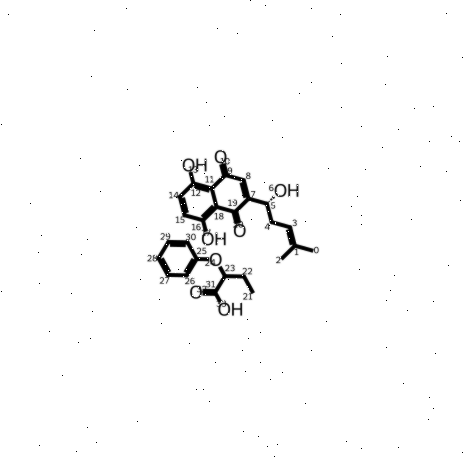 CC(C)=CC[C@@H](O)C1=CC(=O)c2c(O)ccc(O)c2C1=O.CCC(Oc1ccccc1)C(=O)O